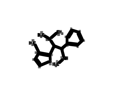 CNC(c1ccccc1)C(c1sccc1C)N(C)C